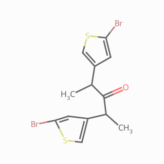 CC(C(=O)C(C)c1csc(Br)c1)c1csc(Br)c1